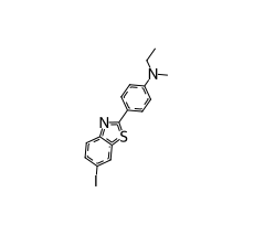 CCN(C)c1ccc(-c2nc3ccc(I)cc3s2)cc1